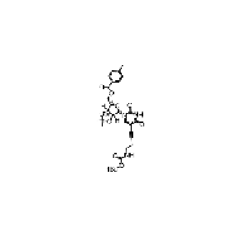 Cc1ccc(C(=O)OC[C@H]2O[C@@H](n3cc(C#CCCNC(=O)OC(C)(C)C)c(=O)[nH]c3=O)[C@@H]3OC(C)(C)O[C@@H]32)cc1